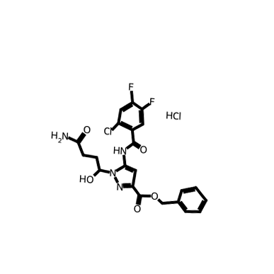 Cl.NC(=O)CCC(O)n1nc(C(=O)OCc2ccccc2)cc1NC(=O)c1cc(F)c(F)cc1Cl